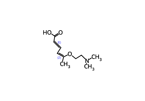 C/C(=C/C=C/C(=O)O)OCCN(C)C